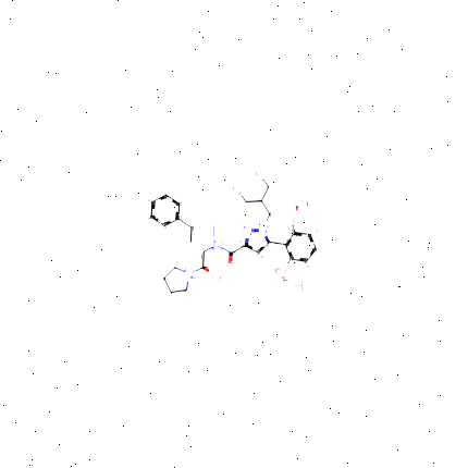 CCC(CC)Cn1nc(C(=O)N[C@@H](CCc2ccccc2)C(=O)N2CCCC2)cc1-c1c(OC)cccc1OC